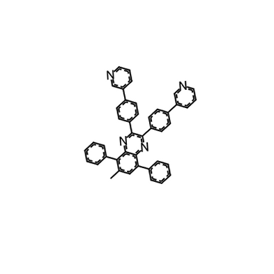 Cc1cc(-c2ccccc2)c2nc(-c3ccc(-c4cccnc4)cc3)c(-c3ccc(-c4cccnc4)cc3)nc2c1-c1ccccc1